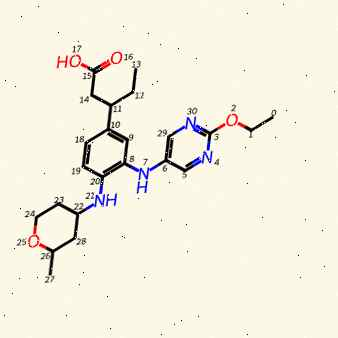 CCOc1ncc(Nc2cc(C(CC)CC(=O)O)ccc2NC2CCOC(C)C2)cn1